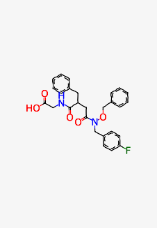 O=C(O)CNC(=O)C(CC(=O)N(Cc1ccc(F)cc1)OCc1ccccc1)Cc1ccccc1